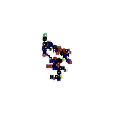 Cc1ncsc1-c1ccc([C@H](C)NC(=O)[C@@H]2C[C@@H](O)CN2C(=O)[C@@H](NC(=O)CCCCCCC(=O)N2CCN(C[C@]3(C)CCC(c4ccc(Cl)cc4)=C(CN4CCN(c5ccc(C(=O)NS(=O)(=O)c6ccc(N[C@H](CCN7CCOCC7)CSc7ccccc7)c(S(=O)(=O)C(F)(F)F)c6)cc5)CC4)C3)CC2)C(C)(C)C)cc1